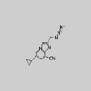 N#Cc1cc(C2CC2)cn2cc(CN=[N+]=[N-])nc12